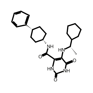 C[C@H](Nc1c(C(=O)N[C@H]2CC[C@@H](c3ccccc3)CC2)[nH]c(=O)[nH]c1=O)C1CCCCC1